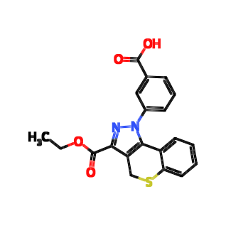 CCOC(=O)c1nn(-c2cccc(C(=O)O)c2)c2c1CSc1ccccc1-2